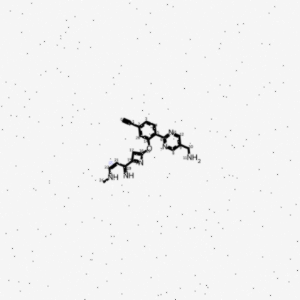 C#Cc1ccc(-c2ncc(CN)cn2)c(OC2=CC(C(=N)/C=C\NC)=N2)c1